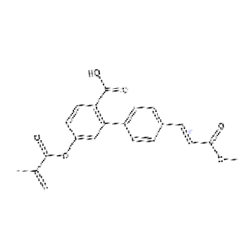 C=C(C)C(=O)Oc1ccc(C(=O)O)c(-c2ccc(/C=C/C(=O)OC)cc2)c1